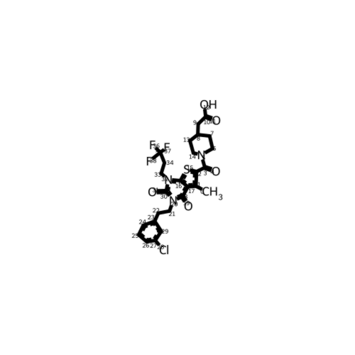 Cc1c(C(=O)N2CCC(CC(=O)O)CC2)sc2c1c(=O)n(CCc1cccc(Cl)c1)c(=O)n2CCC(F)(F)F